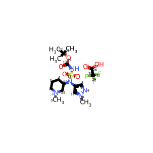 CN1CCCC(N(c2cnn(C)c2)S(=O)(=O)NC(=O)OC(C)(C)C)C1.O=C(O)C(F)(F)F